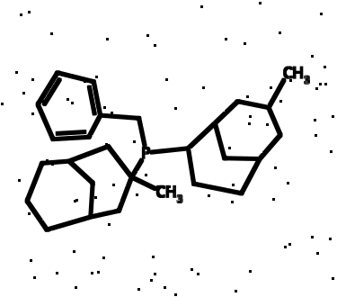 CC1CC2CCC(P(Cc3ccccc3)C3(C)CC4CCCC(C4)C3)C(C1)C2